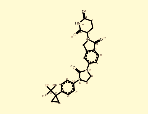 O=C1CCC(N2Cc3cc(N4CCN(c5ccc(C6(C(F)(F)F)CC6)cc5)C4=O)ccc3C2=O)C(=O)N1